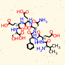 CC(C)[C@H](N)C(=O)N[C@@H](CCC(=O)O)C(=O)N[C@@H](Cc1ccccc1)C(=O)N[C@@H](CC(N)=O)C(=O)N[C@@H](CCC(=O)O)C(=O)N[C@@H](CCC(=O)O)C(=O)N[C@@H](CO)C(=O)O